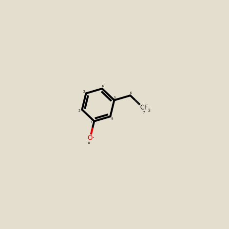 [O]c1cccc(CC(F)(F)F)c1